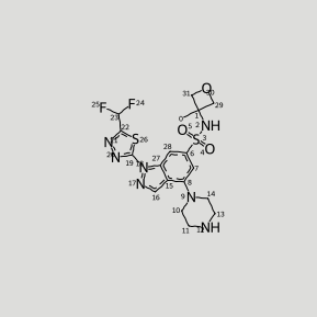 CC1(NS(=O)(=O)c2cc(N3CCNCC3)c3cnn(-c4nnc(C(F)F)s4)c3c2)COC1